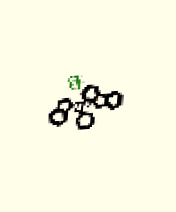 C1=C[CH]([Zr+2](=[C]2CCCCC2)[c]2cccc3c2Cc2ccccc2-3)c2ccccc21.[Cl-].[Cl-]